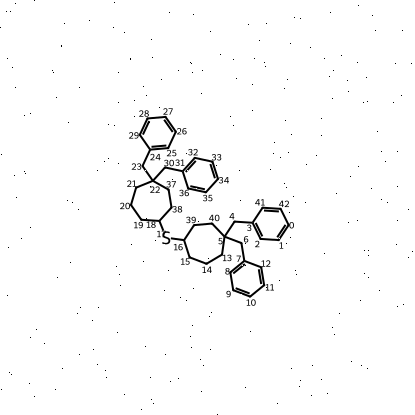 c1ccc(CC2(Cc3ccccc3)CCCC(SC3CCCC(Cc4ccccc4)(Cc4ccccc4)CC3)CC2)cc1